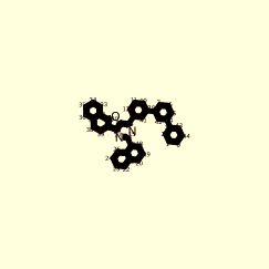 c1ccc(-c2cccc(-c3cccc(-c4nc(-c5cccc6ccccc56)nc5c4oc4c6ccccc6ccc54)c3)c2)cc1